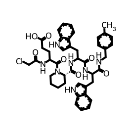 Cc1ccc(CNC(=O)C(Cc2c[nH]c3ccccc23)NC(=O)C(Cc2c[nH]c3ccccc23)NC(=O)[C@@H]2CCCCN2C(=O)C(CCC(=O)O)NC(=O)CCl)cc1